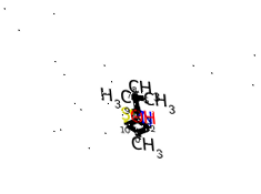 CC1C2N=C(C(C)(C)C)SC1C2O